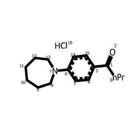 CCCC(=O)c1ccc(N2CCCCCC2)cc1.Cl